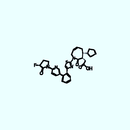 O=C(O)C[C@@H]1C(=O)N(c2nc(-c3ccccc3-c3ccc(N4CC[C@H](F)C4=O)nc3)cs2)C/C=C\C[C@@H]1C1CCCC1